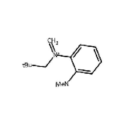 C=[N+](CC(C)(C)C)c1ccccc1NC